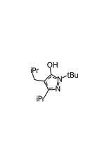 CC(C)Cc1c(C(C)C)nn(C(C)(C)C)c1O